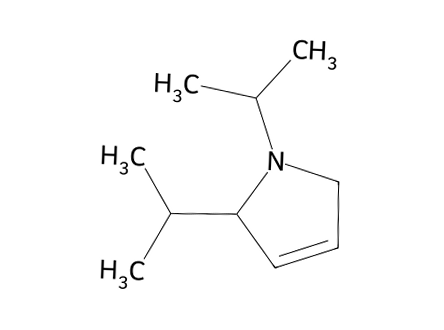 CC(C)C1C=CCN1C(C)C